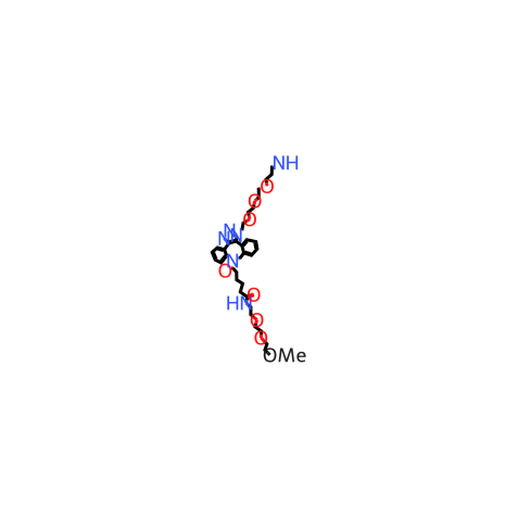 COCCOCCOCCNC(=O)CCCCC(=O)N1Cc2ccccc2-c2c(nnn2CCOCCOCCOCCC=N)-c2ccccc21